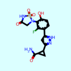 NC(=O)C1CC1c1cc(-c2ccc(O)c(N3CC(=O)NS3(=O)=O)c2F)[nH]n1